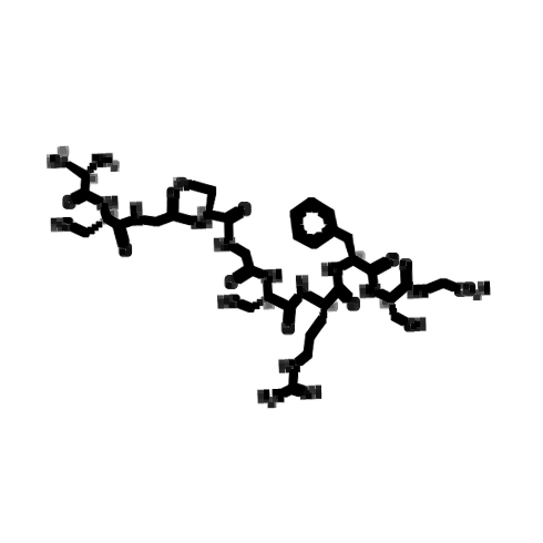 CC[C@H](C)[C@H](N)C(=O)N[C@@H](CO)C(=O)NCC(=O)N[C@@H](CC(C)C)C(=O)NCC(=O)N[C@@H](CO)C(=O)N[C@@H](CCCNC(=N)N)C(=O)N[C@@H](Cc1ccccc1)C(=O)N[C@@H](CO)C(=O)NCC(=O)O